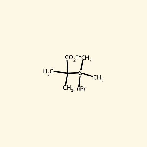 CCCS(C)(C)C(C)(C)C(=O)OCC